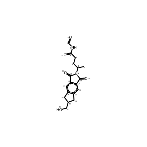 CC(CCC(=O)NC=O)N1C(=O)c2cc3c(cc2C1=O)CC(CO)C3